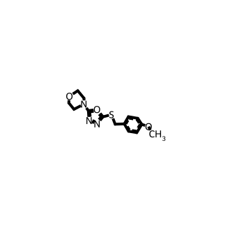 COc1ccc(CSc2nnc(N3CCOCC3)o2)cc1